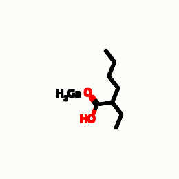 CCCCC(CC)C(=O)O.[GaH3]